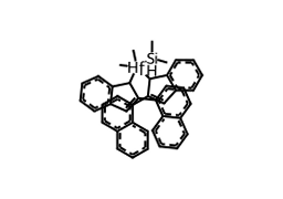 C[SiH](C)[Hf]([CH3])([CH3])([CH]1C(c2cccc3ccccc23)=Cc2ccccc21)[CH]1C(c2cccc3ccccc23)=Cc2ccccc21